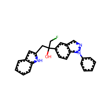 OC(CF)(Cc1cc2ccccc2[nH]1)c1ccc2c(cnn2-c2ccccc2)c1